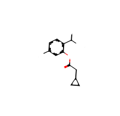 Cc1ccc(C(C)C)c(OC(=O)CC2CC2)c1